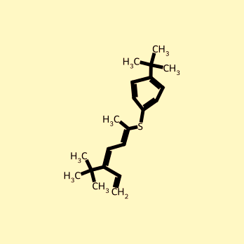 C=C/C(=C\C=C(/C)Sc1ccc(C(C)(C)C)cc1)C(C)(C)C